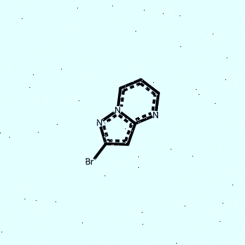 Brc1cc2ncccn2n1